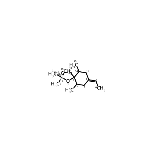 CC=C1CC(C)C(O[Si](C)(C)C)(SC)C(C)C1